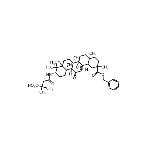 CC(C)(CC(=O)N[C@H]1CC[C@]2(C)[C@H]3C(=O)C=C4[C@@H]5C[C@@](C)(C(=O)OCc6ccccc6)CC[C@]5(C)CC[C@@]4(C)[C@]3(C)CC[C@H]2C1(C)C)C(=O)O